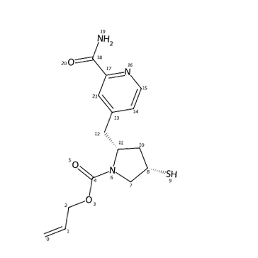 C=CCOC(=O)N1C[C@@H](S)C[C@H]1Cc1ccnc(C(N)=O)c1